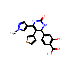 Cn1cc(C2=C(c3ccsc3)C(c3ccc(C(=O)O)c(O)c3)NC(=O)N2)cn1